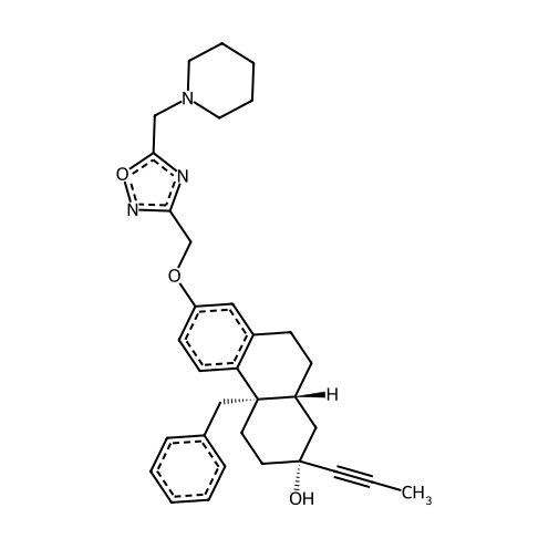 CC#C[C@@]1(O)CC[C@@]2(Cc3ccccc3)c3ccc(OCc4noc(CN5CCCCC5)n4)cc3CC[C@@H]2C1